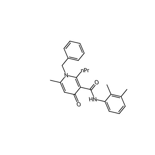 CCCc1c(C(=O)Nc2cccc(C)c2C)c(=O)cc(C)n1Cc1ccccc1